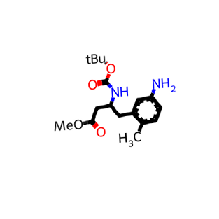 COC(=O)CC(Cc1cc(N)ccc1C)NC(=O)OC(C)(C)C